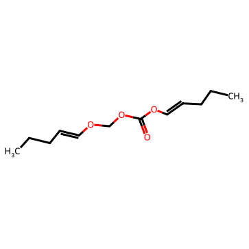 CCCC=COCOC(=O)OC=CCCC